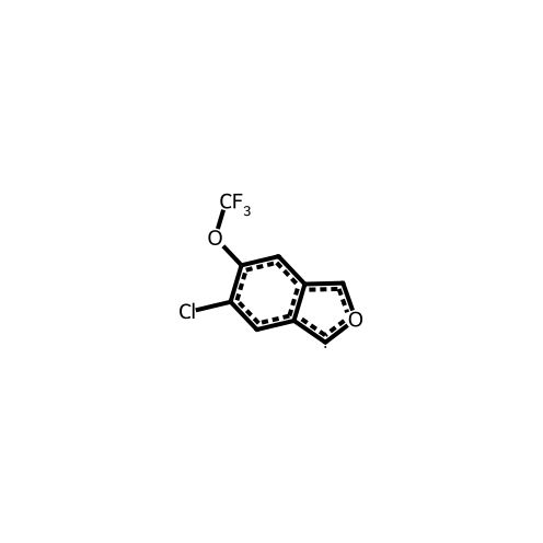 FC(F)(F)Oc1cc2co[c]c2cc1Cl